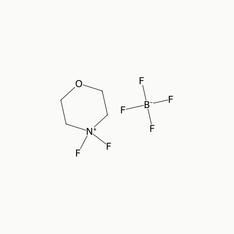 F[B-](F)(F)F.F[N+]1(F)CCOCC1